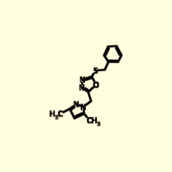 Cc1cc(C)n(Cc2nnc(SCc3ccccc3)o2)n1